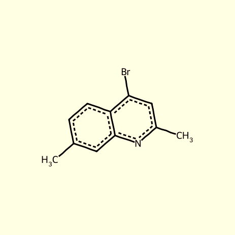 Cc1ccc2c(Br)cc(C)nc2c1